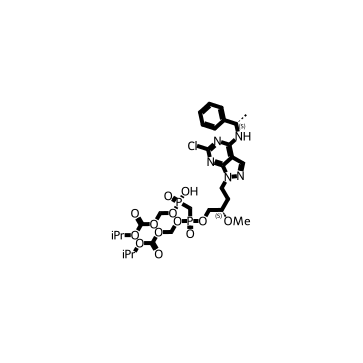 CO[C@@H](CCn1ncc2c(N[C@@H](C)c3ccccc3)nc(Cl)nc21)COP(=O)(CP(=O)(O)OCOC(=O)OC(C)C)OCOC(=O)OC(C)C